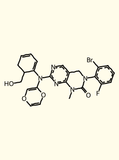 CN1C(=O)N(c2c(F)cccc2Br)Cc2cnc(N(C3=COC=CO3)C3=CC=CCC3CO)nc21